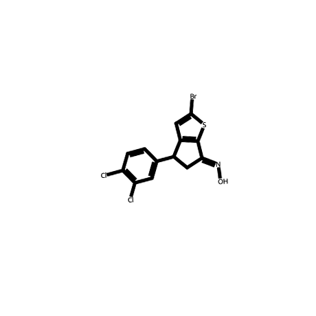 ON=C1CC(c2ccc(Cl)c(Cl)c2)c2cc(Br)sc21